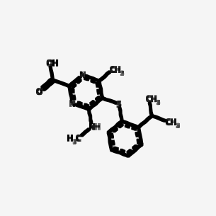 CNc1nc(C(=O)O)nc(C)c1Sc1ccccc1C(C)C